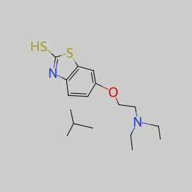 CC(C)C.CCN(CC)CCOc1ccc2nc(S)sc2c1